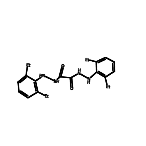 CCc1cccc(CC)c1NNC(=O)C(=O)NNc1c(CC)cccc1CC